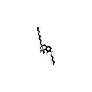 C=CCC/C=C/CCC1=Cc2ccc(OCC/C=C/C)c(F)c2C(F)(F)O1